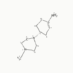 CN1CCN([C@H]2CC=C(N)CC2)CC1